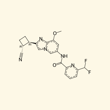 COc1cc(NC(=O)c2cccc(C(F)F)n2)cn2cc([C@@H]3CC[C@H]3C#N)nc12